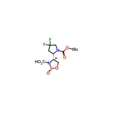 CC(C)(C)OC(=O)N1CC(F)(F)CC1[C@@H]1COS(=O)N1C(=O)O